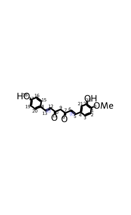 COc1ccc(/C=C/C(=O)CC(=O)/C=C/c2ccc(O)cc2)cc1O